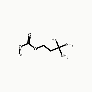 CC(C)OC(=O)OCCC(N)(N)S